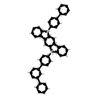 c1ccc(-c2ccc(-n3c4ccccc4c4cc5c(cc43)c3ccccc3n5-c3ccc(-c4cccc(-c5ccccc5)c4)cc3)cc2)cc1